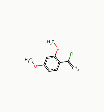 C=C(Cl)c1ccc(OC)cc1OC